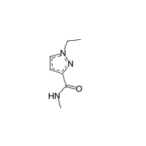 CCn1ccc(C(=O)NC)n1